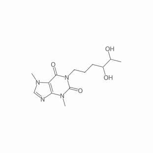 CC(O)C(O)CCCn1c(=O)c2c(ncn2C)n(C)c1=O